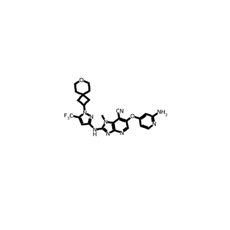 Cn1c(Nc2cc(C(F)(F)F)n(C3CC4(CCOCC4)C3)n2)nc2ncc(Oc3ccnc(N)c3)c(C#N)c21